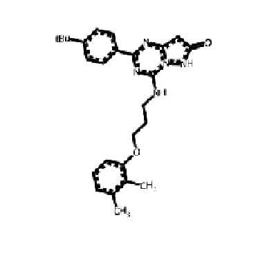 Cc1cccc(OCCCNc2nc(-c3ccc(C(C)(C)C)cc3)nc3cc(=O)[nH]n23)c1C